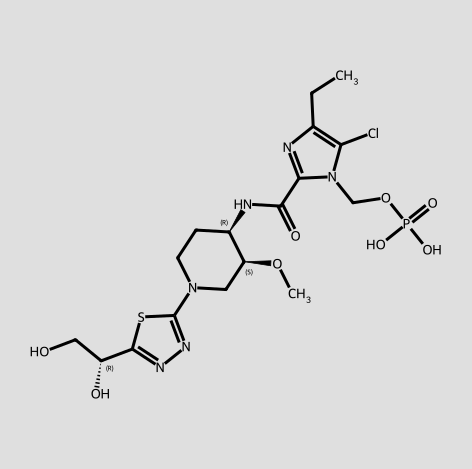 CCc1nc(C(=O)N[C@@H]2CCN(c3nnc([C@H](O)CO)s3)C[C@@H]2OC)n(COP(=O)(O)O)c1Cl